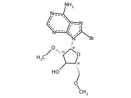 COC[C@H]1O[C@@H](n2c(Br)nc3c(N)ncnc32)[C@@H](OC)C1O